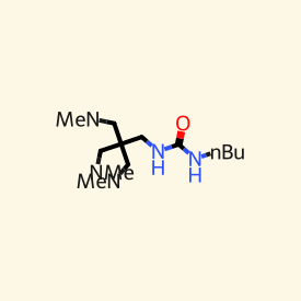 CCCCNC(=O)NCC(CNC)(CNC)CNC